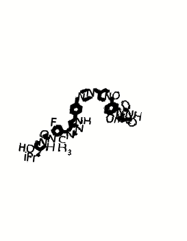 COc1ccc(C(=O)N2CCC(CN3CCN(Cc4ccc(-c5cc6c(-c7cc(F)cc(NC(=O)N8C[C@H](CC(C)C)[C@@H](O)C8)c7C)ncnc6[nH]5)cc4)CC3)CC2)cc1N1CCC(=O)NC1=O